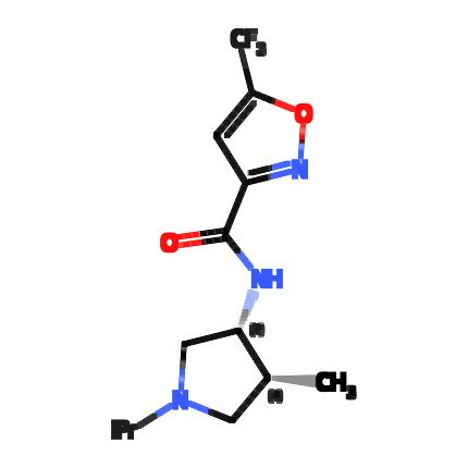 CC(C)N1C[C@@H](C)[C@@H](NC(=O)c2cc(C(F)(F)F)on2)C1